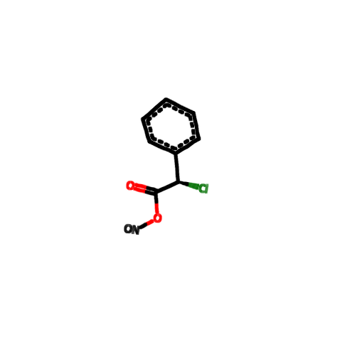 O=NOC(=O)[C@H](Cl)c1ccccc1